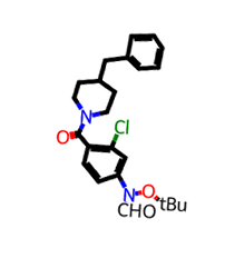 CC(C)(C)ON(C=O)c1ccc(C(=O)N2CCC(Cc3ccccc3)CC2)c(Cl)c1